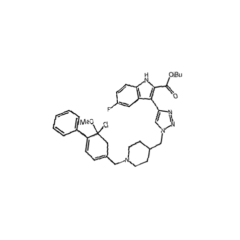 COC1(Cl)CC(CN2CCC(Cn3cc(-c4c(C(=O)OCC(C)C)[nH]c5ccc(F)cc45)nn3)CC2)=CC=C1c1ccccc1